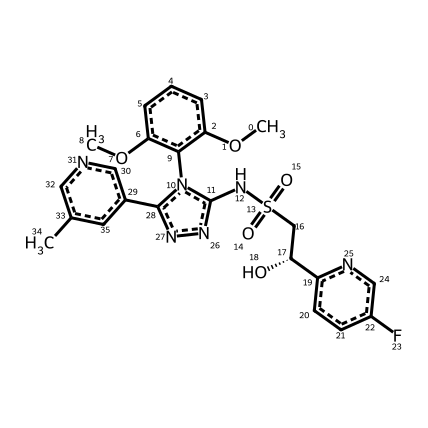 COc1cccc(OC)c1-n1c(NS(=O)(=O)C[C@@H](O)c2ccc(F)cn2)nnc1-c1cncc(C)c1